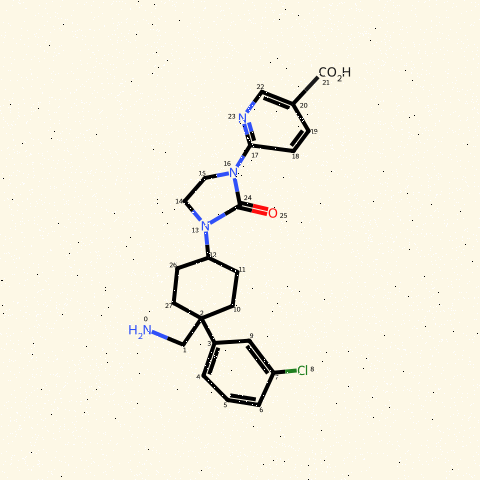 NCC1(c2cccc(Cl)c2)CCC(N2CCN(c3ccc(C(=O)O)cn3)C2=O)CC1